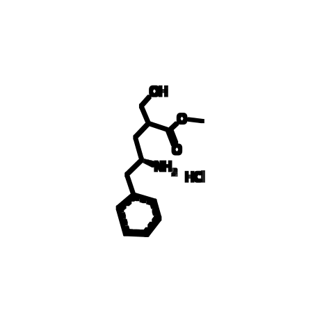 COC(=O)C(CO)C[C@@H](N)Cc1ccccc1.Cl